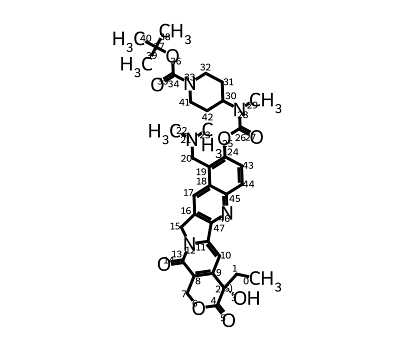 CC[C@@]1(O)C(=O)OCc2c1cc1n(c2=O)Cc2cc3c(CN(C)C)c(OC(=O)N(C)C4CCN(C(=O)OC(C)(C)C)CC4)ccc3nc2-1